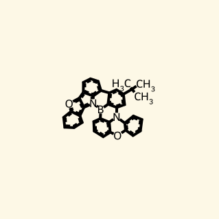 CC(C)(C)c1cc2c3c(c1)N1c4ccccc4Oc4cccc(c41)B3n1c3c-2cccc3c2oc3ccccc3c21